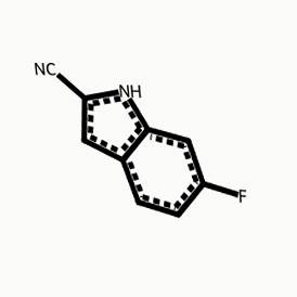 N#Cc1cc2ccc(F)cc2[nH]1